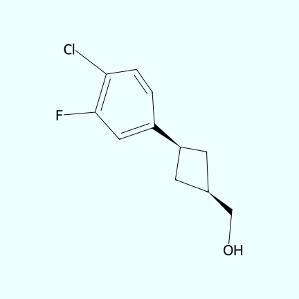 OC[C@H]1C[C@@H](c2ccc(Cl)c(F)c2)C1